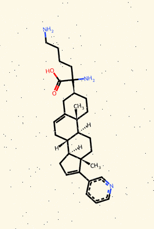 C[C@]12CC[C@H](C(N)(CCCCN)C(=O)O)CC1=CC[C@@H]1[C@@H]2CC[C@]2(C)C(c3cccnc3)=CC[C@@H]12